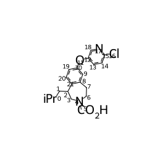 CC(C)CC1CN(C(=O)O)CCc2cc(Oc3ccc(Cl)nc3)ccc21